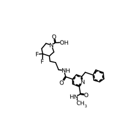 CNC(=O)c1cc(C(=O)NCCCC2CN(C(=O)O)CCC2(F)F)cc(Cc2ccccc2)n1